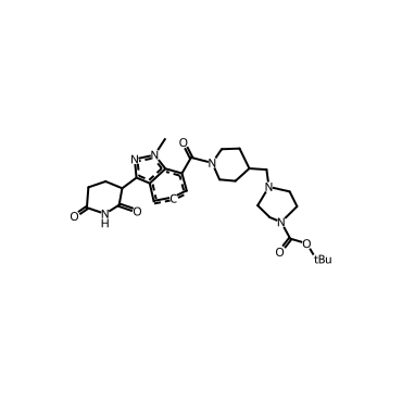 Cn1nc(C2CCC(=O)NC2=O)c2cccc(C(=O)N3CCC(CN4CCN(C(=O)OC(C)(C)C)CC4)CC3)c21